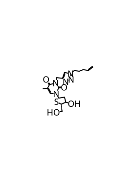 C=CCCCn1cc(Cn2c(=O)c(C)cn(C3CC(O)[C@@H](CO)S3)c2=O)nn1